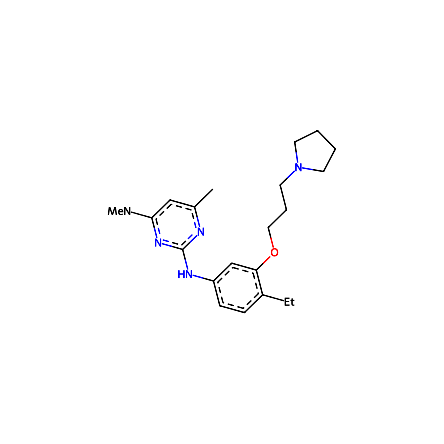 CCc1ccc(Nc2nc(C)cc(NC)n2)cc1OCCCN1CCCC1